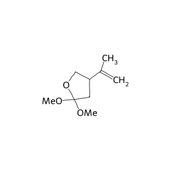 C=C(C)C1COC(OC)(OC)C1